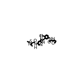 Cc1nc(C)c(C(=O)Nc2cnc3nc(-c4cc(NC(=O)c5ccco5)ccc4Cl)[nH]c3c2)s1